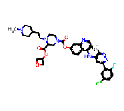 Cc1nnc(-c2cc(Cl)ccc2F)cc1Nc1ccnc2cc(OC(=O)N3CCN(CCC4CCN(C)CC4)C(C(=O)OC4COC4)C3)ccc12